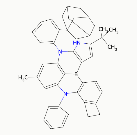 Cc1cc2c3c(c1)N(c1ccccc1)c1c(ccc4c1CC4)B3c1cc(C(C)(C)C)[nH]c1N2c1ccccc1C12CC3CC(CC(C3)C1)C2